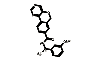 COc1cccc([C@@H](C)NC(=O)c2ccc3c(c2)COc2cncnc2-3)c1